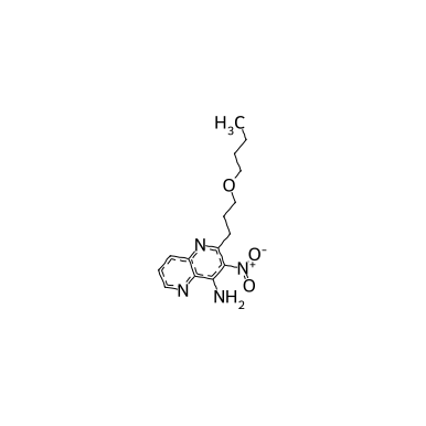 CCCCOCCCc1nc2cccnc2c(N)c1[N+](=O)[O-]